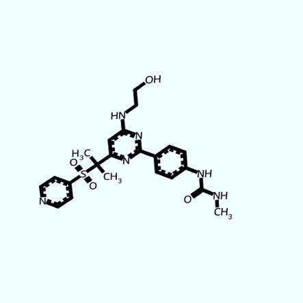 CNC(=O)Nc1ccc(-c2nc(NCCO)cc(C(C)(C)S(=O)(=O)c3ccncc3)n2)cc1